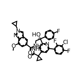 COc1cc(C(=O)NC[C@@](O)(c2ccc(F)cc2)c2cc(C3(C(N)=O)CC3)cc(-c3ccc(F)c(Cl)c3F)n2)cc2cn(C3CC3)nc12